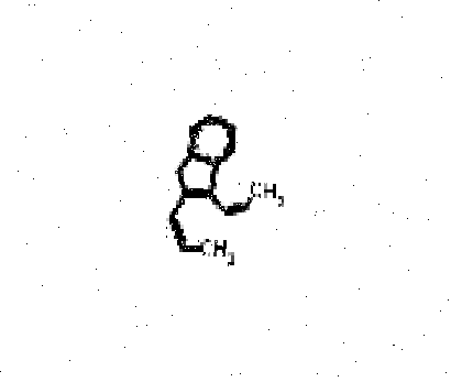 C/C=C\C1=C(/C=C\C)c2ccccc2C1